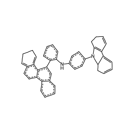 C1=CCC2C(=C1)C1=C(CCC=C1)N2c1ccc(Nc2ccccc2-c2cc3ccccc3c3ccc4c(c23)=CCCC=4)cc1